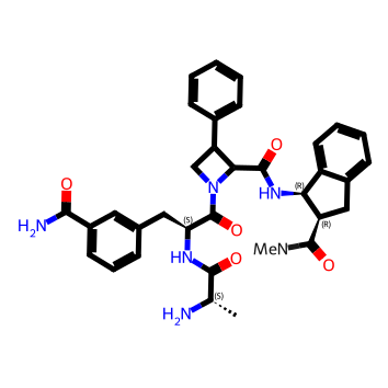 CNC(=O)[C@@H]1Cc2ccccc2[C@@H]1NC(=O)C1C(c2ccccc2)CN1C(=O)[C@H](Cc1cccc(C(N)=O)c1)NC(=O)[C@H](C)N